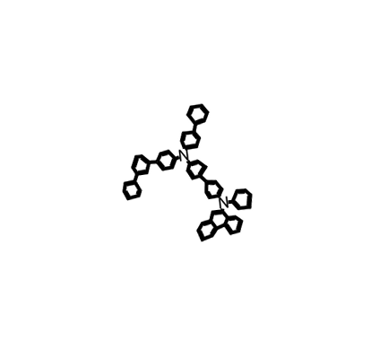 c1ccc(-c2ccc(N(c3ccc(-c4ccc(N(c5ccccc5)c5cc6ccccc6c6ccccc56)cc4)cc3)c3ccc(-c4cccc(-c5ccccc5)c4)cc3)cc2)cc1